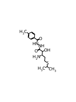 Cc1ccc(C(=O)NNC(=O)C(O)[C@H](N)CCSC(C)C)cc1